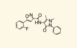 Cc1c(NC(=O)c2cc(-c3ccccc3F)on2)c(=O)n(-c2ccccc2)n1C